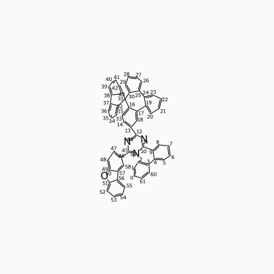 c1ccc(-c2ccccc2-c2nc(-c3ccc4c(c3)-c3ccccc3-c3ccccc3C43c4ccccc4-c4ccccc43)nc(-c3ccc4oc5ccccc5c4c3)n2)cc1